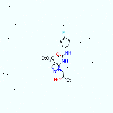 CCOC(=O)c1cnn(CC(O)CC)c1NC(=O)Nc1ccc(F)cc1